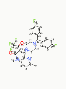 Cc1ccc2c(n1)c(N1CCN(C(c3ccc(F)cc3)c3ccc(F)cc3)CC1)c(C(=O)C(F)(F)F)c(=O)n2C